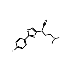 CN(C)CCC(C#N)c1coc(-c2ccc(F)cc2)n1